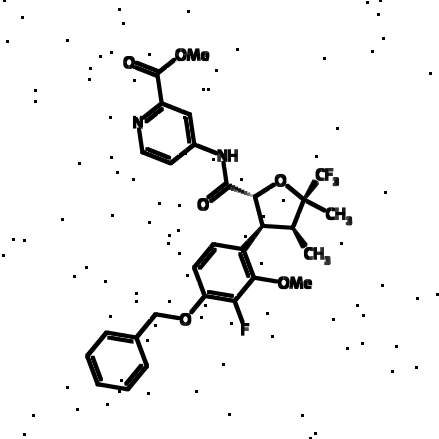 COC(=O)c1cc(NC(=O)[C@@H]2O[C@@](C)(C(F)(F)F)[C@@H](C)[C@H]2c2ccc(OCc3ccccc3)c(F)c2OC)ccn1